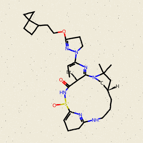 C/C=C(\N=C1/C(CC)C(=O)N[S+]([O-])C2=CCCC(=N2)NCCC[C@@H]2CN1C(C)(C)C2)N1CCC(OCCC2CCC23CC3)=N1